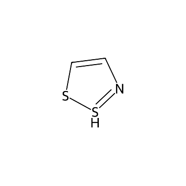 C1=CS[SH]=N1